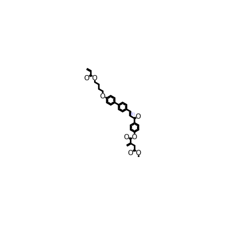 C=CC(=O)OCCCCOc1ccc(-c2ccc(/C=C/C(=O)c3ccc(OC(=O)C(=C)CC(=O)OC)cc3)cc2)cc1